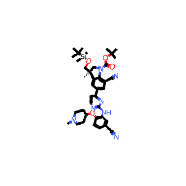 CN1CCC(Oc2ccc(C#N)cc2Nc2nccc(-c3cc(C#N)c4c(c3)[C@@](C)(CO[Si](C)(C)C(C)(C)C)CN4C(=O)OC(C)(C)C)n2)CC1